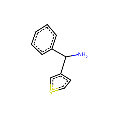 NC(c1cc[c]cc1)c1ccsc1